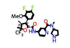 COc1c([C@H]2[C@H](C(=O)Nc3ccnc(C(=O)N(C)[C@@H]4CCNC4)c3)O[C@@](C)(C(F)(F)F)[C@H]2C)ccc(F)c1F